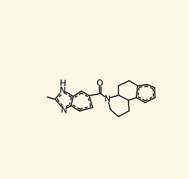 Cc1nc2ccc(C(=O)N3CCCC4c5ccccc5CCC43)cc2[nH]1